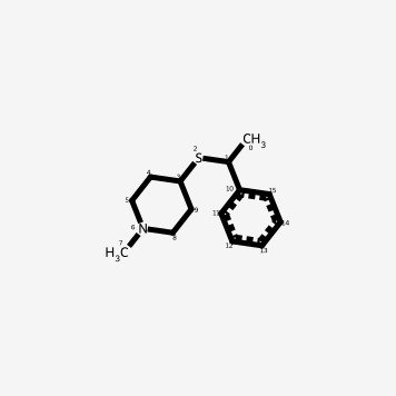 CC(SC1CCN(C)CC1)c1ccccc1